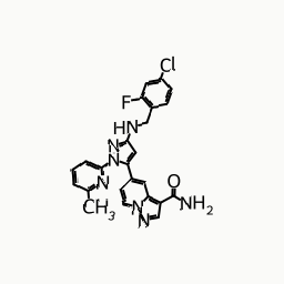 Cc1cccc(-n2nc(NCc3ccc(Cl)cc3F)cc2-c2ccn3ncc(C(N)=O)c3c2)n1